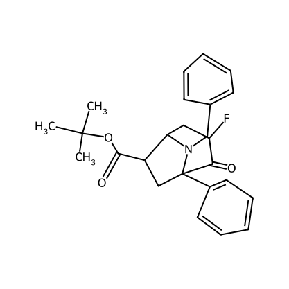 CC(C)(C)OC(=O)C1CC2(c3ccccc3)C(=O)C(F)CC1N2Cc1ccccc1